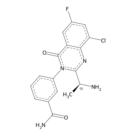 C[C@H](N)c1nc2c(Cl)cc(F)cc2c(=O)n1-c1cccc(C(N)=O)c1